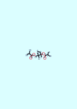 CCC(C)(OC(=O)C(C)C)C(C)(C)COC(=O)C(C)C